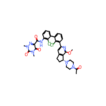 COc1nc(-c2cccc(-c3cccc(NC(=O)c4nn(C)c(=O)n(C)c4=O)c3Cl)c2Cl)cc2c1[C@H](N1CCN(C(C)=O)CC1)CC2